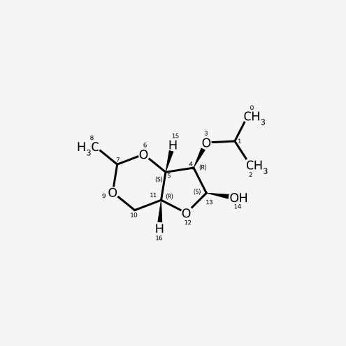 CC(C)O[C@@H]1[C@H]2OC(C)OC[C@H]2O[C@@H]1O